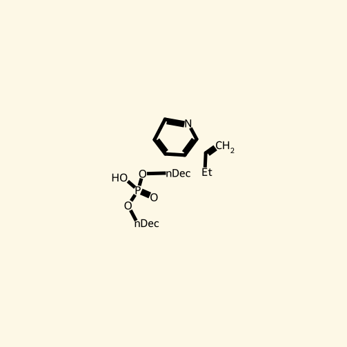 C=CCC.CCCCCCCCCCOP(=O)(O)OCCCCCCCCCC.c1ccncc1